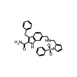 NC(=O)c1[nH]c2cc(CNCc3cccn3S(=O)(=O)c3ccccc3)ccc2c1Sc1ccccc1